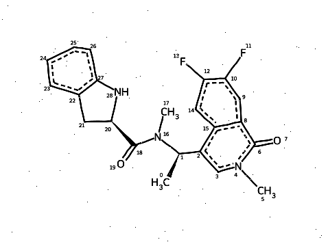 C[C@H](c1cn(C)c(=O)c2cc(F)c(F)cc12)N(C)C(=O)[C@H]1Cc2ccccc2N1